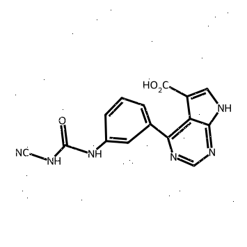 N#CNC(=O)Nc1cccc(-c2ncnc3[nH]cc(C(=O)O)c23)c1